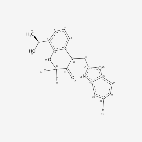 C[C@H](O)c1cccc2c1OC(F)(F)C(=O)N2Cc1nc2cc(F)ccc2o1